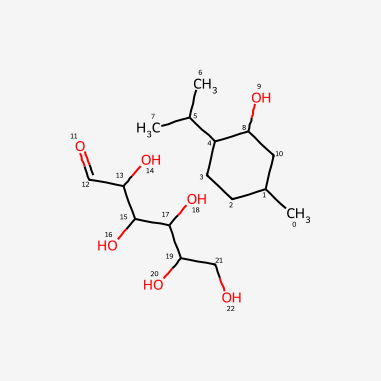 CC1CCC(C(C)C)C(O)C1.O=CC(O)C(O)C(O)C(O)CO